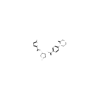 CC(=O)N1C[C@@H](NC(=O)c2ccc(N3CCOCC3=O)cc2)[C@H](NC(=O)c2ccc(Cl)s2)C1